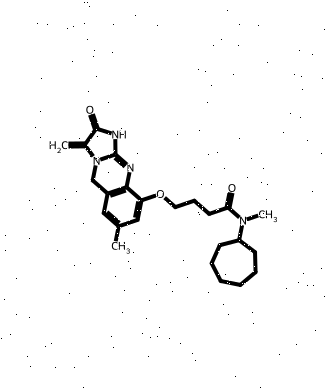 C=c1c(=O)[nH]c2n1Cc1cc(C)cc(OCCCC(=O)N(C)C3CCCCCC3)c1N=2